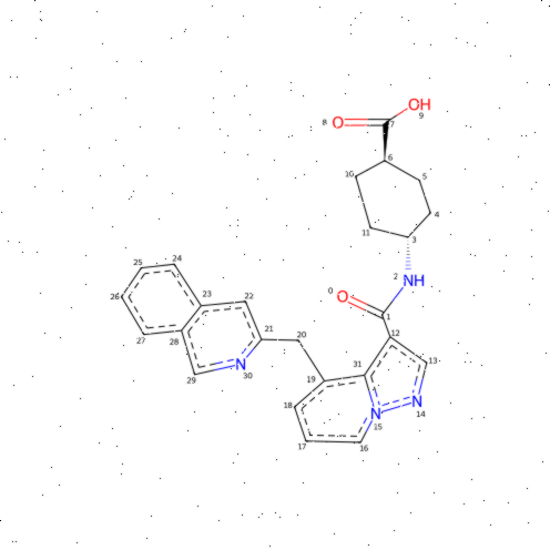 O=C(N[C@H]1CC[C@H](C(=O)O)CC1)c1cnn2cccc(Cc3cc4ccccc4cn3)c12